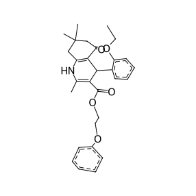 CCOc1ccccc1C1C(C(=O)OCCOc2ccccc2)=C(C)NC2=C1C(=O)CC(C)(C)C2